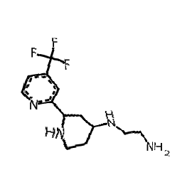 NCCNC1CCNC(c2cc(C(F)(F)F)ccn2)C1